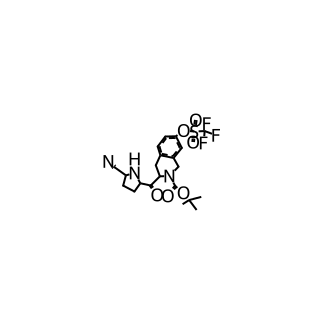 CC(C)(C)OC(=O)N1Cc2cc(OS(=O)(=O)C(F)(F)F)ccc2CC1C(=O)C1CCC(C#N)N1